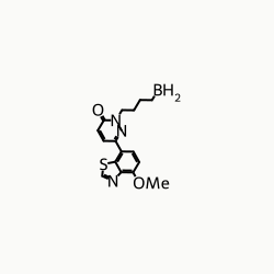 BCCCCn1nc(-c2ccc(OC)c3ncsc23)ccc1=O